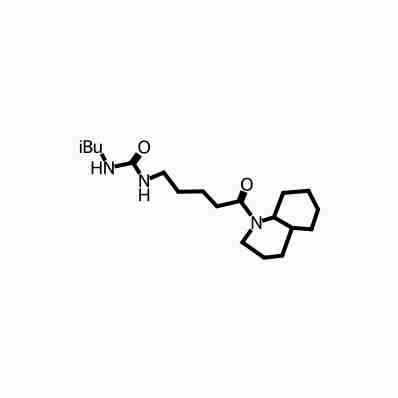 CCC(C)NC(=O)NCCCCC(=O)N1CCCC2CCCCC21